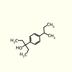 CCC(C)c1ccc(C(O)(CC)CC)cc1